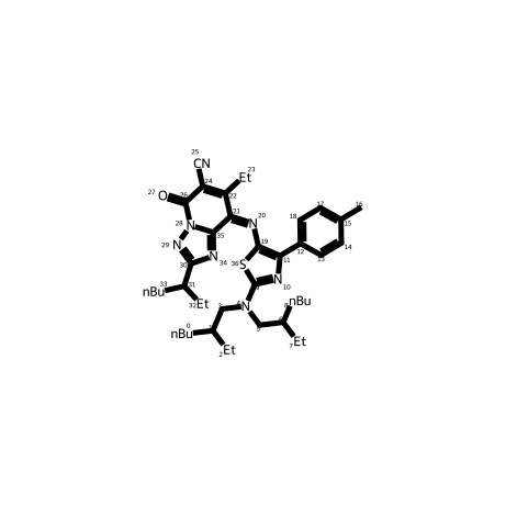 CCCCC(CC)CN(CC(CC)CCCC)c1nc(-c2ccc(C)cc2)c(/N=C2/C(CC)=C(C#N)C(=O)n3nc(C(CC)CCCC)nc32)s1